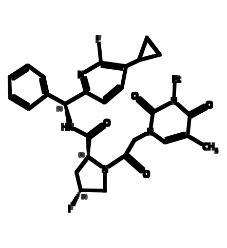 CCn1c(=O)c(C)cn(CC(=O)N2C[C@H](F)C[C@H]2C(=O)N[C@@H](c2ccccc2)c2ccc(C3CC3)c(F)n2)c1=O